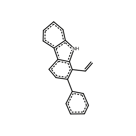 C=Cc1c(-c2ccccc2)ccc2c1[nH]c1ccccc12